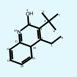 CCC1=C(C(C)(C)C)C(O)N=C2C=CC=CC21